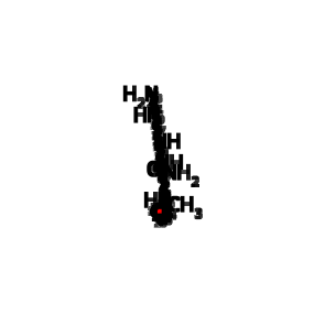 CC(NCCCC[C@H](N)C(=O)NCCCNCCCCNCCCN)C12CC3CC(CC(C3)C1)C2